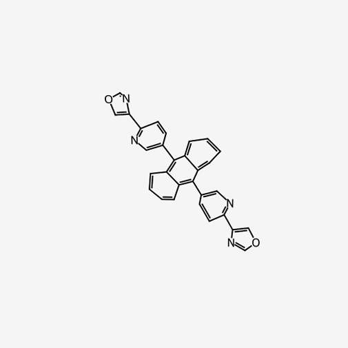 c1ccc2c(-c3ccc(-c4cocn4)nc3)c3ccccc3c(-c3ccc(-c4cocn4)nc3)c2c1